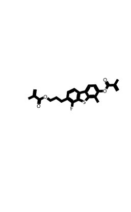 C=C(C)C(=O)OCCCc1ccc2c(sc3c(C)c(OC(=O)C(=C)C)ccc32)c1F